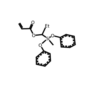 C=CC(=O)OC(CC)[Si](C)(Oc1ccccc1)Oc1ccccc1